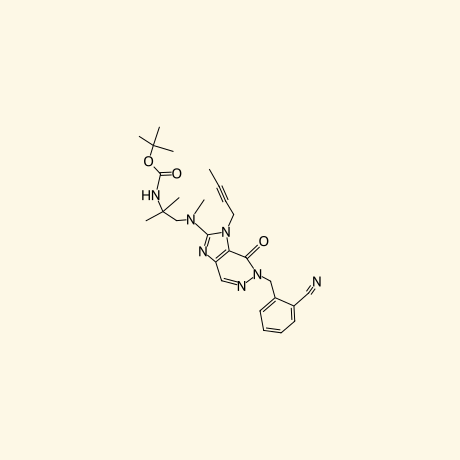 CC#CCn1c(N(C)CC(C)(C)NC(=O)OC(C)(C)C)nc2cnn(Cc3ccccc3C#N)c(=O)c21